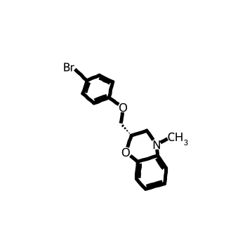 CN1C[C@@H](COc2ccc(Br)cc2)Oc2ccccc21